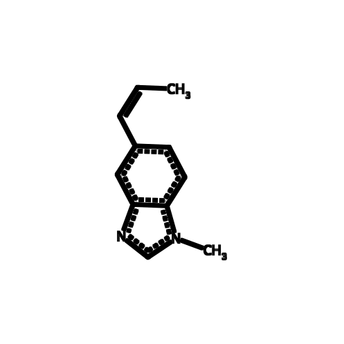 C/C=C\c1ccc2c(c1)ncn2C